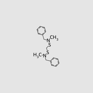 CN(Cc1ccccc1)SCSN(C)Cc1ccccc1